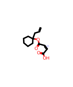 C=CCC1(OC(=O)/C=C\C(=O)O)CCCCC1